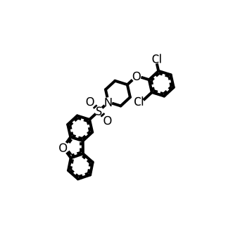 O=S(=O)(c1ccc2oc3ccccc3c2c1)N1CCC(Oc2c(Cl)cccc2Cl)CC1